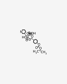 CC(C)OC(=O)Oc1ccc(C2OP(=O)(O)C(O)(Cc3cccnc3)P(=O)(O)O2)cc1